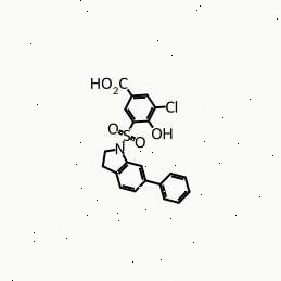 O=C(O)c1cc(Cl)c(O)c(S(=O)(=O)N2CCc3ccc(-c4ccccc4)cc32)c1